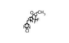 CCOC(=O)c1cn(Cc2cnc(Cl)nc2)nc1C(F)(F)F